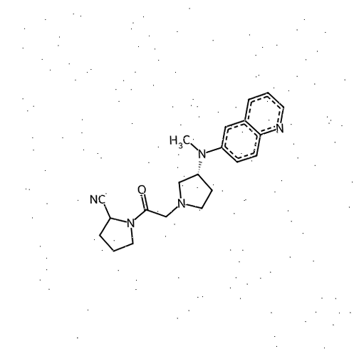 CN(c1ccc2ncccc2c1)[C@@H]1CCN(CC(=O)N2CCCC2C#N)C1